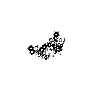 CC[C@@H](C)C(=O)N[C@H](C(=O)N1Cc2cc(C3C[C@@H](C(=O)NC(Cc4ccccc4)C(=O)O)N(C(=O)[C@@H](NC(=O)[C@H](C)N(C)C(=O)OC(C)(C)C)C(C)(C)C)C3)ccc2C[C@H]1C(=O)NC1CCCc2ccccc21)C(C)(C)C